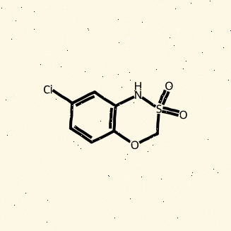 O=S1(=O)COc2ccc(Cl)cc2N1